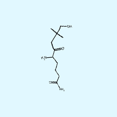 CC(C)(CO)CC(=O)C(N)CCCC(N)=O